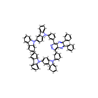 c1ccc(-c2nc3c(-c4cccc(-n5c6ccccc6c6cc(-n7c8ccccc8c8ccccc87)ccc65)c4)nnc(-c4cccc(-n5c6ccccc6c6cc(-n7c8ccccc8c8ccccc87)ccc65)c4)c3nc2-c2ccccc2)cc1